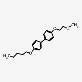 CCCCCOc1ccc(-c2ccc(OCCOC)cc2)cc1